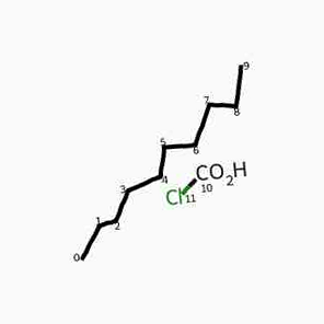 CCCCCCCCCC.O=C(O)Cl